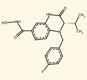 CC(C)[C@H]1C(=O)Nc2cc(C(=O)NO)ccc2N1Cc1ccc(F)cc1